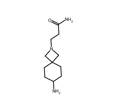 NC(=O)CCN1CC2(CCC(N)CC2)C1